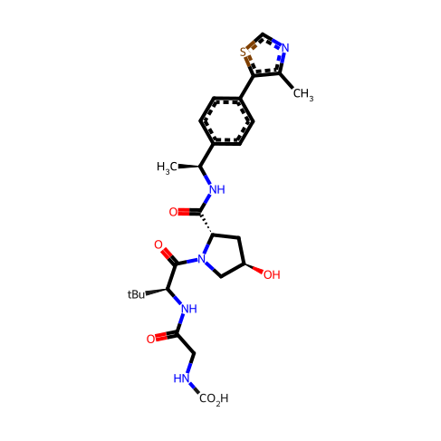 Cc1ncsc1-c1ccc([C@H](C)NC(=O)[C@@H]2C[C@@H](O)CN2C(=O)[C@@H](NC(=O)CNC(=O)O)C(C)(C)C)cc1